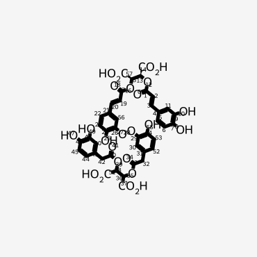 O=C(/C=C/c1ccc(O)c(O)c1)O[C@@H](C(=O)O)[C@@H](OC(=O)/C=C/c1ccc(O)c(OOc2cc(CC(=O)OC(C(=O)O)C(OC(=O)Cc3ccc(O)c(O)c3)C(=O)O)ccc2O)c1)C(=O)O